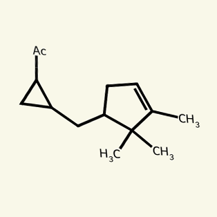 CC(=O)C1CC1CC1CC=C(C)C1(C)C